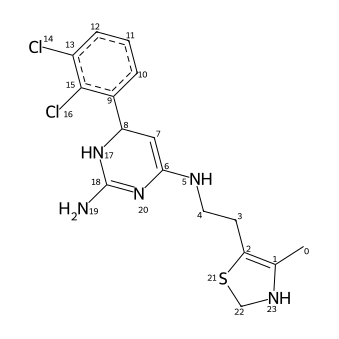 CC1=C(CCNC2=CC(c3cccc(Cl)c3Cl)NC(N)=N2)SCN1